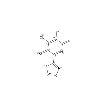 C=C1N=C(c2nccs2)C(=O)C(Cl)=C1C